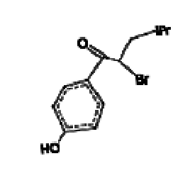 CC(C)CC(Br)C(=O)c1ccc(O)cc1